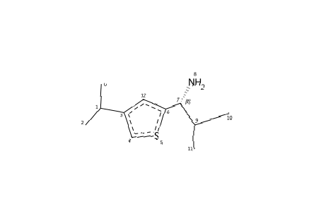 CC(C)c1csc([C@H](N)C(C)C)c1